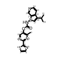 Cc1nc(-c2nccs2)ncc1OC(=O)Nn1cc(C(C)C)c2ccncc21